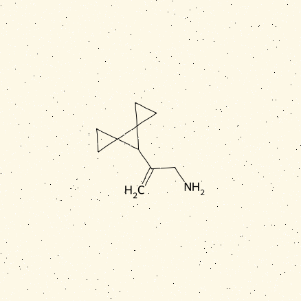 C=C(CN)C1C2(CC2)C12CC2